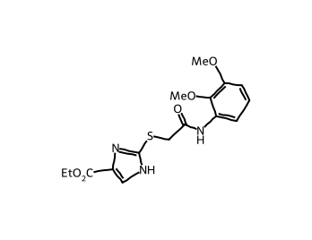 CCOC(=O)c1c[nH]c(SCC(=O)Nc2cccc(OC)c2OC)n1